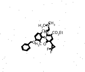 CCOC(=O)c1cc(C2CC2(F)F)c(=O)n(-c2c(C)ccc(OCc3ccccc3)c2C)c1/N=C/N(C)C